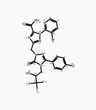 NC(=O)c1nc(Cn2nc(-c3ccc(Cl)cc3)n(CC(O)C(F)(F)F)c2=O)nn1-c1ncccc1Br